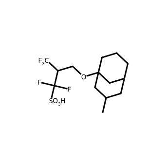 CC1CC2CCCC(OCC(C(F)(F)F)C(F)(F)S(=O)(=O)O)(C1)C2